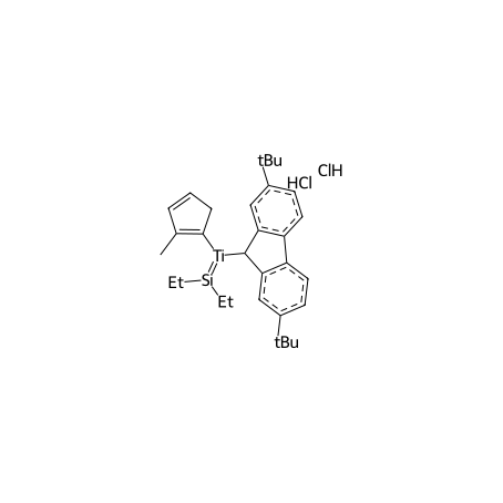 CC[Si](CC)=[Ti]([C]1=C(C)C=CC1)[CH]1c2cc(C(C)(C)C)ccc2-c2ccc(C(C)(C)C)cc21.Cl.Cl